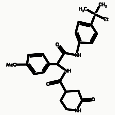 CCS(C)(C)c1ccc(NC(=O)C(NC(=O)C2CCNC(=O)C2)c2ccc(OC)cc2)cc1